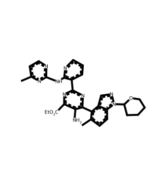 CCOC(=O)c1nc(-c2cccnc2Nc2nccc(C)n2)nc(-c2c(C)ccc3c2cnn3C2CCCCO2)c1N